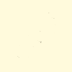 Cc1oncc1S(=O)(=O)NCC(O)CC(C)(C)C